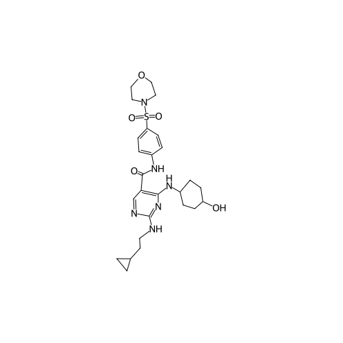 O=C(Nc1ccc(S(=O)(=O)N2CCOCC2)cc1)c1cnc(NCCC2CC2)nc1NC1CCC(O)CC1